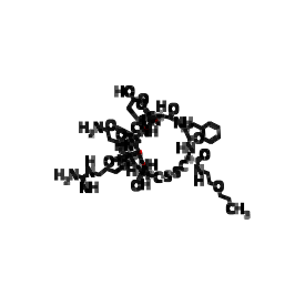 CCCOCCNC(=O)[C@@H]1CSSC[C@@H]2NC(=O)[C@H](CCCCN)NC(=O)CSC[C@H](NC(=O)[C@H](CC(=O)O)NC(=O)CNC(=O)[C@H](CCCNC(=N)N)NC2=O)C(=O)N[C@@H](Cc2ccccc2)C(=O)N1